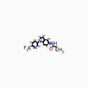 C=CC(=O)Nc1ccc2c(ccn2-c2ccc(C(F)(F)F)nc2)c1